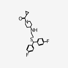 O=C(C1CC1)N1CCC(NCCSC(c2ccc(F)cc2)c2ccc(F)cc2)CC1